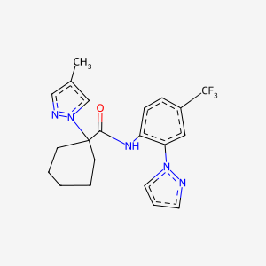 Cc1cnn(C2(C(=O)Nc3ccc(C(F)(F)F)cc3-n3cccn3)CCCCC2)c1